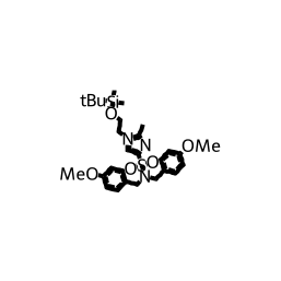 COc1ccc(CN(Cc2ccc(OC)cc2)S(=O)(=O)c2cn(CCO[Si](C)(C)C(C)(C)C)c(C)n2)cc1